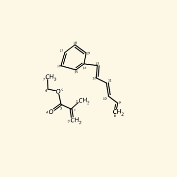 C=C(C)C(=O)OCC.C=CC=CC=Cc1ccccc1